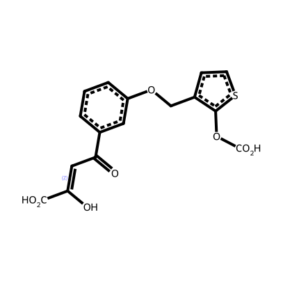 O=C(O)Oc1sccc1COc1cccc(C(=O)/C=C(\O)C(=O)O)c1